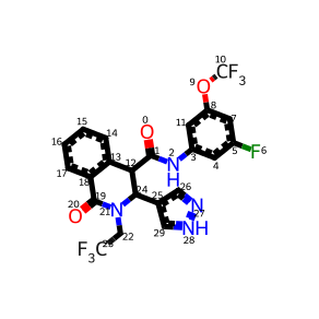 O=C(Nc1cc(F)cc(OC(F)(F)F)c1)C1c2ccccc2C(=O)N(CC(F)(F)F)C1c1cn[nH]c1